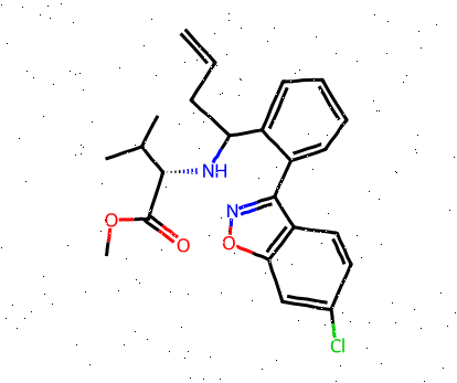 C=CCC(N[C@H](C(=O)OC)C(C)C)c1ccccc1-c1noc2cc(Cl)ccc12